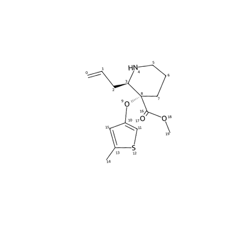 C=CC[C@H]1NCCC[C@@]1(Oc1csc(C)c1)C(=O)OC